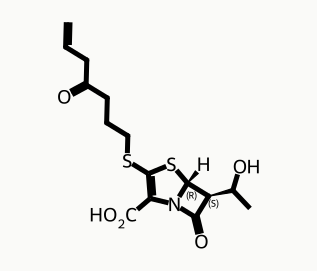 C=CCC(=O)CCCSC1=C(C(=O)O)N2C(=O)[C@H](C(C)O)[C@H]2S1